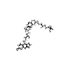 C/C(=C\COc1ccc2c(c1)O[C@@]1(C=C2)O[C@H](CC/C(C)=C/COc2c3ccoc3cc3oc(=O)ccc23)C(C)(C)O1)CCC1OC1(C)C